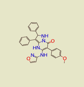 COc1ccc(C2=C(Nc3ccon3)NC3=C(c4ccccc4)C(c4ccccc4)NN3C2=O)cc1